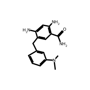 CN(C)c1cccc(Cc2cc(C(N)=O)c(N)cc2N)c1